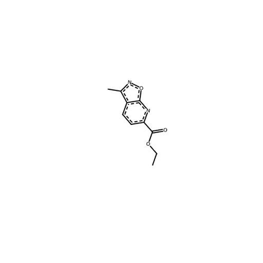 CCOC(=O)c1ccc2c(C)noc2n1